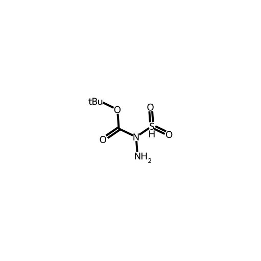 CC(C)(C)OC(=O)N(N)[SH](=O)=O